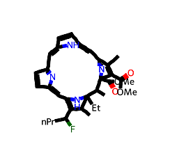 CCCC(F)C1=C2C=C3C=CC(=N3)C=c3ccc([nH]3)=CC3=NC(C(=O)OC)(C(C(=O)OC)=C3C)C(C)C(CC)(N2)C1C